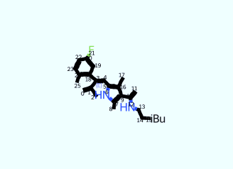 C=C(C)/C(=C\c1[nH]c(C)c(C(=C)NCCC(C)CC)c1C)c1cc(F)ccc1C